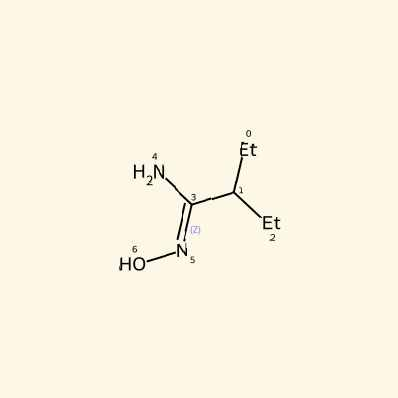 CCC(CC)/C(N)=N/O